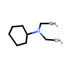 CCN(C[SiH3])C1CCCCC1